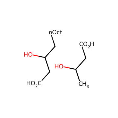 CC(O)CC(=O)O.CCCCCCCCCC(O)CC(=O)O